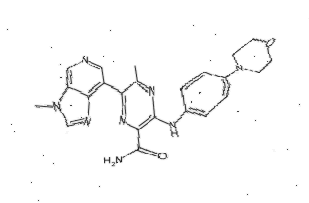 Cc1nc(Nc2ccc(N3CCOCC3)cc2)c(C(N)=O)nc1-c1cncc2c1ncn2C